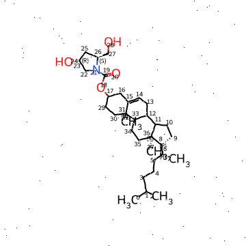 CC(C)CCC[C@@H](C)[C@H]1CCC2C3CC=C4CC(OC(=O)N5C[C@H](O)C[C@H]5CO)CC[C@]4(C)C3CC[C@@]21C